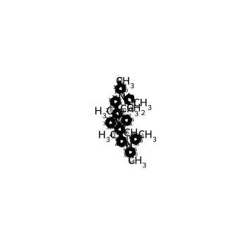 C=C/C=C(\C=C/CC)N(c1ccc(C)cc1)c1cccc(-c2c(C)cc([Si](c3ccccc3)(c3ccccc3)c3cc(C)c(-c4cccc(N(c5ccc(C)cc5)c5ccc(C)cc5)c4)c(C)c3)cc2C)c1